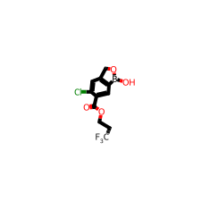 O=C(OCCC(F)(F)F)c1cc2c(cc1Cl)COB2O